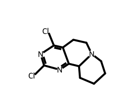 Clc1nc(Cl)c2c(n1)C1CCCCN1CC2